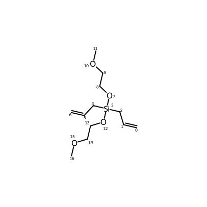 C=CC[Si](CC=C)(OCCOC)OCCOC